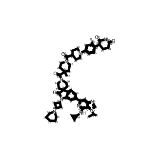 CC(C)n1cnc2cc(-c3ccc4c(c3)N([C@H]3C[C@@H](N5CCCCC5)C3)C(=O)C43CCN(C(=O)C4(C)CCN(C(=O)C5CCN(c6ccc(C7CCC(=O)NC7=O)c(F)c6)CC5)CC4)CC3)nc(NC3CC3)c21